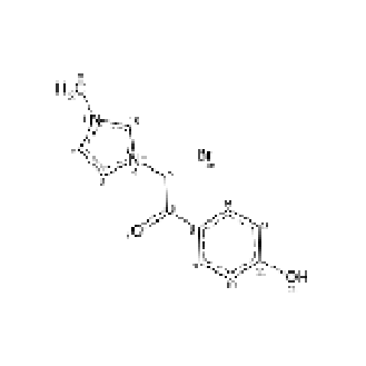 Cn1cc[n+](CC(=O)c2ccc(O)cc2)c1.[Br-]